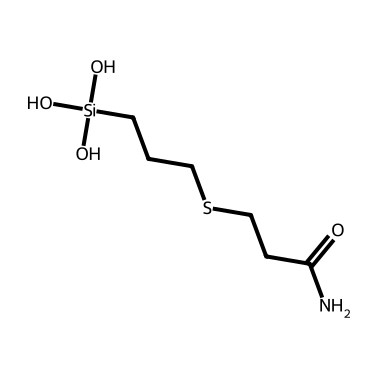 NC(=O)CCSCCC[Si](O)(O)O